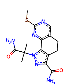 CSc1ncc2c(n1)-c1c(c(C(N)=O)nn1C(C)(C)C(N)=O)CC2